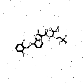 COC(=O)[C@H](CCC(F)(F)F)NC(=O)c1c(C)nc2c(OCc3c(F)cccc3F)cccn12